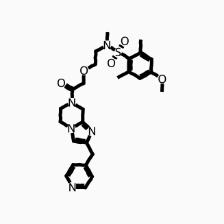 COc1cc(C)c(S(=O)(=O)N(C)CCOCC(=O)N2CCn3cc(Cc4ccncc4)nc3C2)c(C)c1